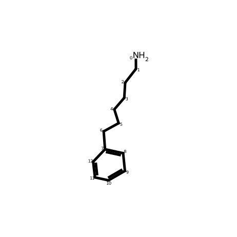 NCCCCCCc1ccccc1